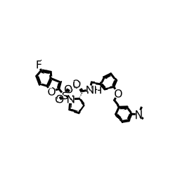 CN(C)c1cccc(COc2cccc(CNC(=O)[C@@H]3CCCN3S(=O)(=O)c3cc4cc(F)ccc4o3)c2)c1